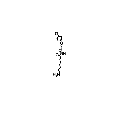 NCCCCCCCC(=O)NOCCOc1ccc(Cl)cc1